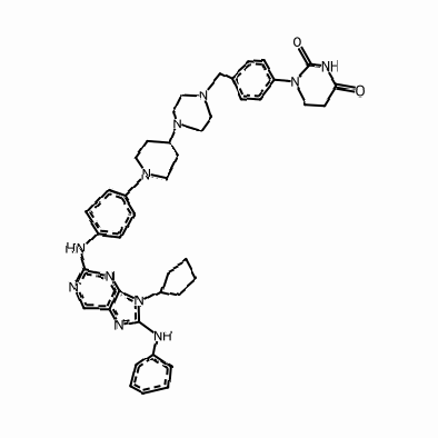 O=C1CCN(c2ccc(CN3CCN(C4CCN(c5ccc(Nc6ncc7nc(Nc8ccccc8)n(C8CCCC8)c7n6)cc5)CC4)CC3)cc2)C(=O)N1